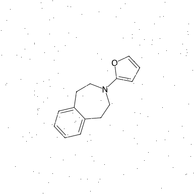 c1coc(N2CCc3ccccc3CC2)c1